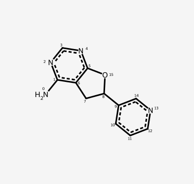 Nc1ncnc2c1CC(c1cccnc1)O2